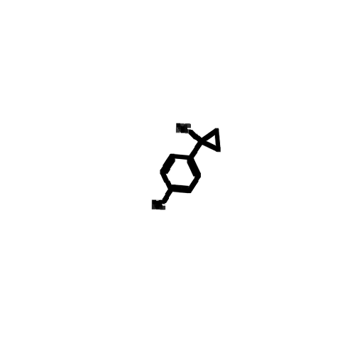 N#Cc1ccc(C2(C#N)CC2)cc1